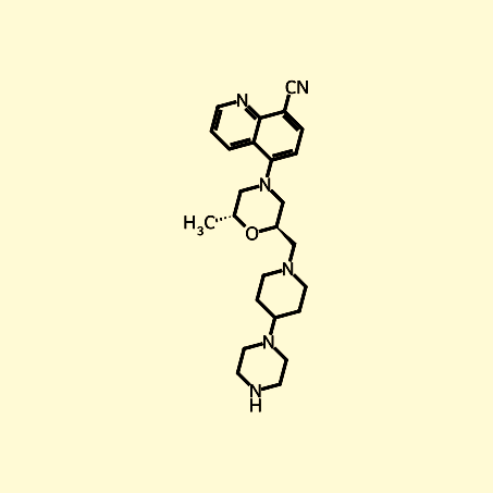 C[C@@H]1CN(c2ccc(C#N)c3ncccc23)C[C@@H](CN2CCC(N3CCNCC3)CC2)O1